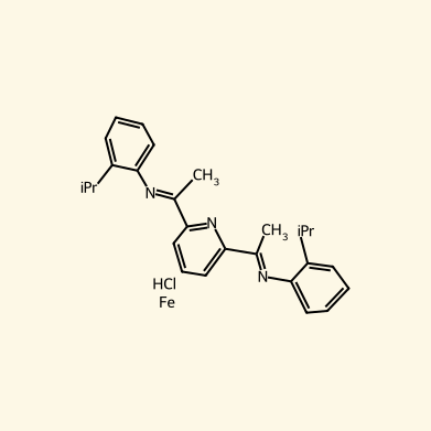 C/C(=N\c1ccccc1C(C)C)c1cccc(/C(C)=N/c2ccccc2C(C)C)n1.Cl.[Fe]